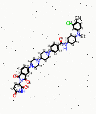 CCN(c1ccc(C#N)c(Cl)c1)C1CCC(NC(=O)c2ccc(N3CCC(N4CCN(c5ccc6c(c5)C(=O)N(C5CCC(=O)NC5=O)C6=O)CC4)CC3)cc2)CC1